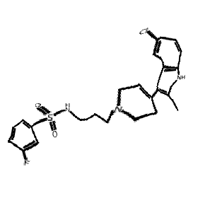 Cc1[nH]c2ccc(Cl)cc2c1C1=CCN(CCCNS(=O)(=O)c2cccc(F)c2)CC1